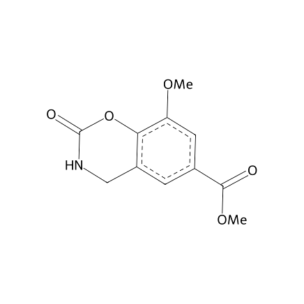 COC(=O)c1cc2c(c(OC)c1)OC(=O)NC2